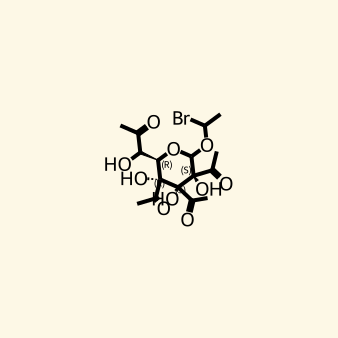 CC(=O)C(O)[C@H]1OC(OC(C)Br)[C@](O)(C(C)=O)[C@](O)(C(C)=O)[C@@]1(O)C(C)=O